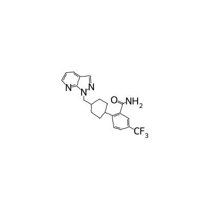 NC(=O)c1cc(C(F)(F)F)ccc1C1CCC(Cn2ncc3cccnc32)CC1